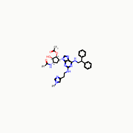 CC(C)C(=O)N[C@H]1C[C@@H](n2cnc3c(NCC(c4ccccc4)c4ccccc4)nc(NCCc4cn(C(C)C)cn4)nc32)[C@H](OC(=O)C(F)(F)F)[C@@H]1O